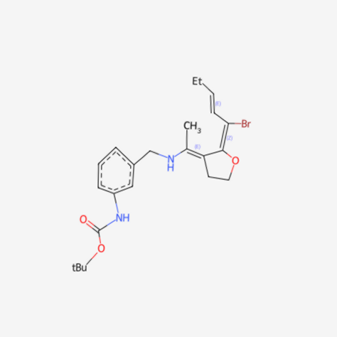 CC/C=C/C(Br)=C1/OCC/C1=C(/C)NCc1cccc(NC(=O)OC(C)(C)C)c1